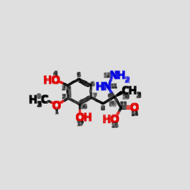 COc1c(O)ccc(C[C@](C)(NN)C(=O)O)c1O